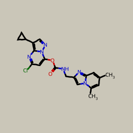 Cc1cc(C)n2cc(CNC(=O)Oc3cc(Cl)nc4c(C5CC5)cnn34)nc2c1